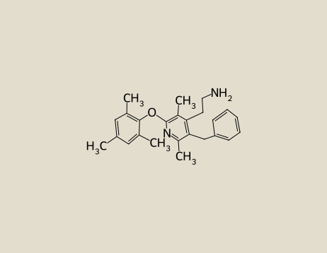 Cc1cc(C)c(Oc2nc(C)c(Cc3ccccc3)c(CCN)c2C)c(C)c1